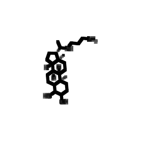 CC(NCCCN)[C@H]1CC[C@H]2[C@@H]3CCC4C(O)C(O)CC[C@]4(C)[C@H]3CC[C@]12C